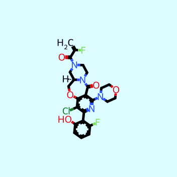 C=C(F)C(=O)N1CCN2C(=O)c3c(N4CCOCC4)nc(-c4c(O)cccc4F)c(Cl)c3OC[C@H]2C1